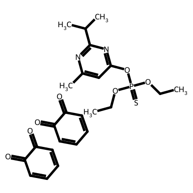 CCOP(=S)(OCC)Oc1cc(C)nc(C(C)C)n1.O=C1C=CC=CC1=O.O=C1C=CC=CC1=O